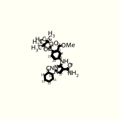 COC(=O)c1cc(Nc2nn([C@@H]3CCCC[C@H]3C#N)cc2C(N)=O)ccc1B1OC(C)(C)C(C)(C)O1